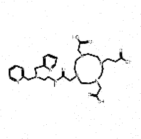 O=C(O)CCN1CCN(CC(=O)O)CCN(CC(=O)NCCN(Cc2ccccn2)Cc2ccccn2)CCN(CC(=O)O)CC1